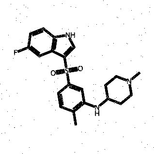 Cc1ccc(S(=O)(=O)c2c[nH]c3ccc(F)cc23)cc1NC1CCN(C)CC1